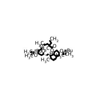 C=CCC(C)(CC=C)C(=O)O[C@H]1C[C@H](O[Si](C)(C)CCCC)C=C2C=C[C@H](C)[C@H](CC[C@@H]3C[C@@H](O[Si](C)(C)C(C)(C)C)CC(=O)O3)[C@H]21